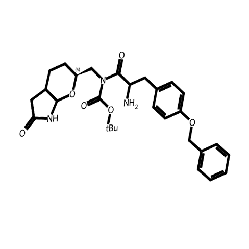 CC(C)(C)OC(=O)N(C[C@@H]1CCC2CC(=O)NC2O1)C(=O)C(N)Cc1ccc(OCc2ccccc2)cc1